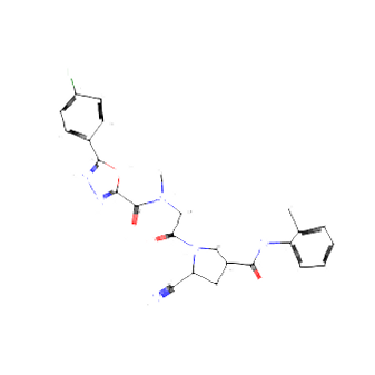 Cc1ccccc1NC(=O)C1CC(C#N)N(C(=O)CN(C)C(=O)c2nnc(-c3ccc(F)cc3)o2)C1